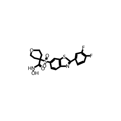 O=C(NO)C1(S(=O)(=O)c2ccc3nc(-c4ccc(F)c(F)c4)sc3c2)CCOCC1